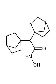 O=C(NO)C(C12CCC(CC1)C2)C12CCC(CC1)C2